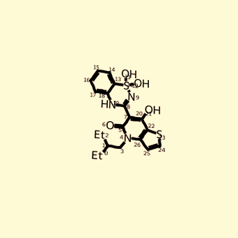 CCC(CC)Cn1c(=O)c(C2=NS(O)(O)c3ccccc3N2)c(O)c2sccc21